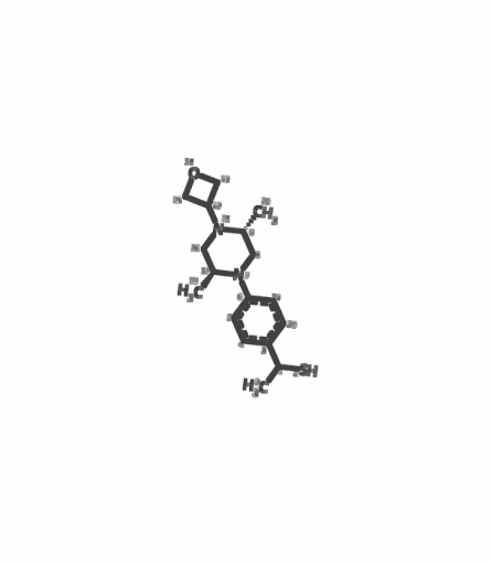 CC(S)c1ccc(N2C[C@@H](C)N(C3COC3)C[C@@H]2C)cc1